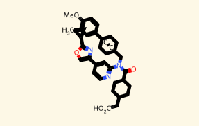 COc1ccc(C23CCC(CN(C(=O)C4CCC(CC(=O)O)CC4)c4cc(-c5coc(C6CC6)n5)ccn4)(CC2)CC3)cc1C